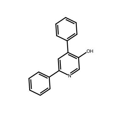 Oc1cnc(-c2ccccc2)cc1-c1ccccc1